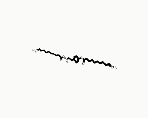 C=CCCCCCCCCC(=O)ONCCc1ccc(OC(=O)CCCCCCCCC=C)cc1